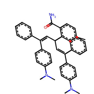 Cc1ccc(C(N)=O)c(C(C=C(c2ccccc2)c2ccc(N(C)C)cc2)C=C(c2ccccc2)c2ccc(N(C)C)cc2)c1